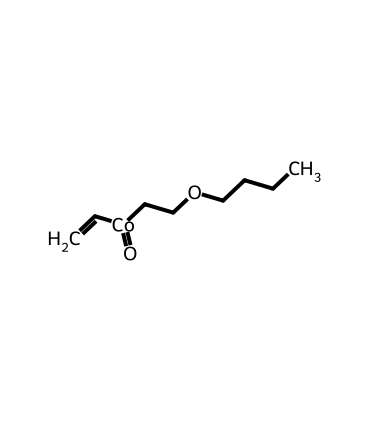 C=[CH][Co](=[O])[CH2]COCCCC